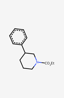 CCOC(=O)N1CCCC(c2ccccc2)C1